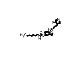 CCCCCCCNC(=O)Oc1ccc2c(ccn2NCCCc2ccncc2F)c1